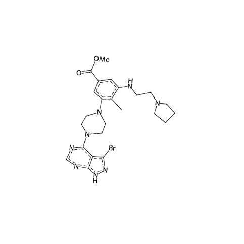 COC(=O)c1cc(NCCN2CCCC2)c(C)c(N2CCN(c3ncnc4[nH]nc(Br)c34)CC2)c1